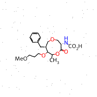 COCCCOC1C(C)OC(=O)[C@@H](NC(=O)O)COC[C@@H]1Cc1ccccc1